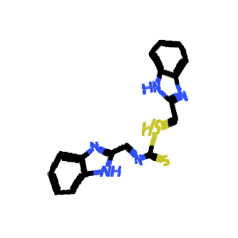 S=C(N=Cc1nc2ccccc2[nH]1)[SH]=Cc1nc2ccccc2[nH]1